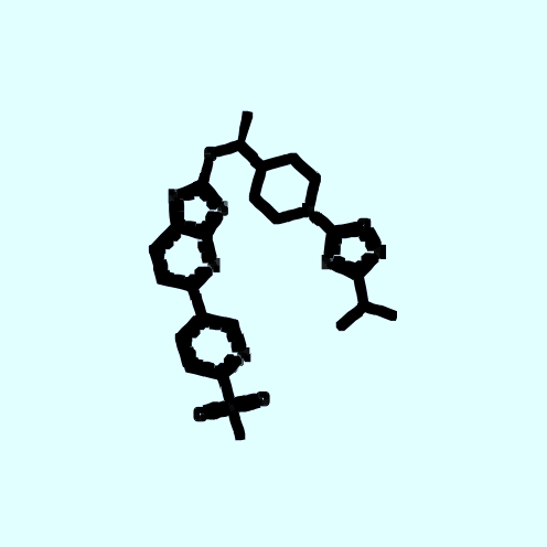 CC(C)c1noc(N2CCC([C@H](C)Oc3nc4ccc(-c5ccc(S(C)(=O)=O)nc5)nc4s3)CC2)n1